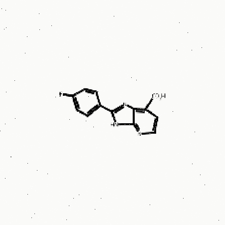 O=C(O)c1ccnc2[nH]c(-c3ccc(F)cc3)nc12